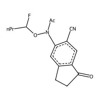 CCCC(F)ON(C(C)=O)c1cc2c(cc1C#N)C(=O)CC2